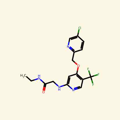 CCNC(=O)CNc1cc(OCc2ccc(Cl)cn2)c(C(F)(F)F)cn1